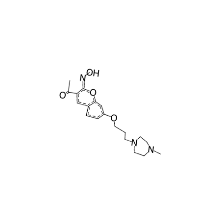 CC(=O)c1cc2ccc(OCCCN3CCN(C)CC3)cc2oc1=NO